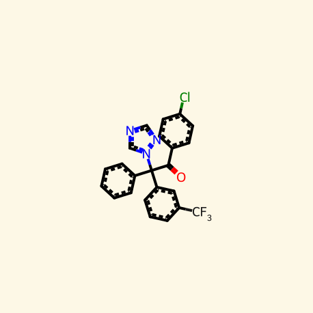 O=C(c1ccc(Cl)cc1)C(c1ccccc1)(c1cccc(C(F)(F)F)c1)n1cncn1